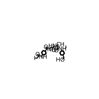 C[C@H](NC(=O)CNC(=O)c1ccc(NC(=O)CI)cc1)C(=O)Nc1ccc(CO)cc1